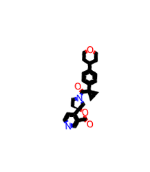 O=C1O[C@]2(CCN(C(=O)C3(c4ccc(C5CCOCC5)cc4)CC3)C2)c2ccncc21